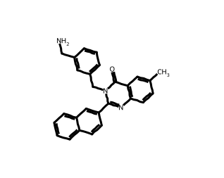 Cc1ccc2nc(-c3ccc4ccccc4c3)n(Cc3cccc(CN)c3)c(=O)c2c1